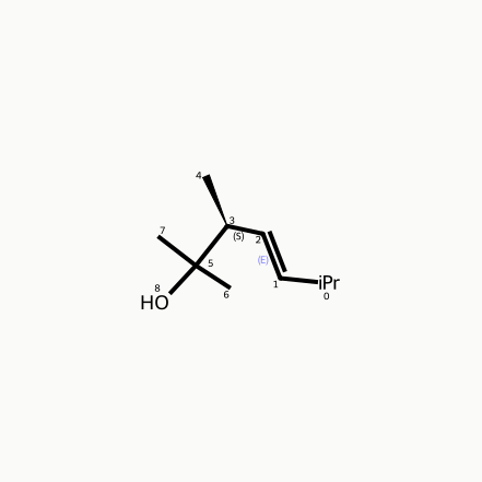 CC(C)/C=C/[C@H](C)C(C)(C)O